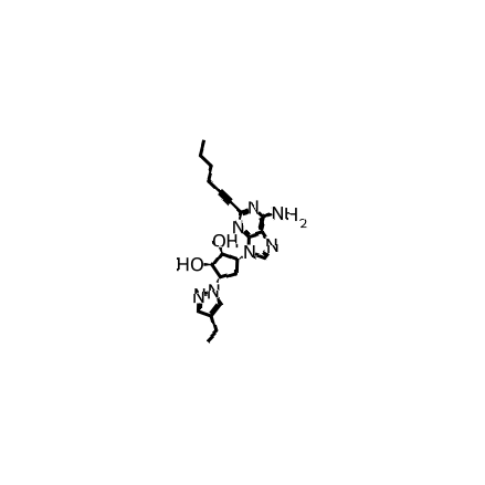 CCCCC#Cc1nc(N)c2ncn([C@@H]3C[C@H](n4cc(CC)cn4)[C@@H](O)[C@H]3O)c2n1